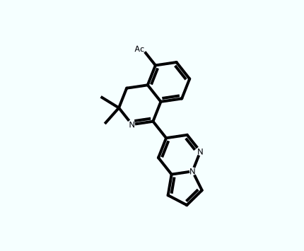 CC(=O)c1cccc2c1CC(C)(C)N=C2c1cnn2cccc2c1